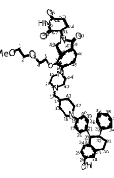 COCCOCCOc1c(N2CCN(CC3CCN(c4ccc([C@@H]5c6ccc(O)cc6CC[C@@H]5c5ccccc5)cc4)CC3)CC2)ccc2c1CN(C1CCC(=O)NC1=O)C2=O